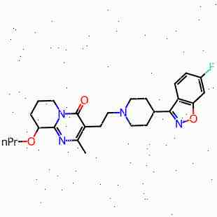 CCCOC1CCCn2c1nc(C)c(CCN1CCC(c3noc4cc(F)ccc34)CC1)c2=O